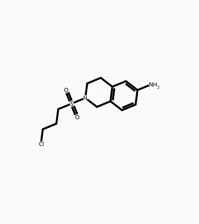 Nc1ccc2c(c1)CCN(S(=O)(=O)CCCCl)C2